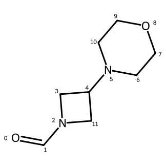 O=CN1CC(N2CCOCC2)C1